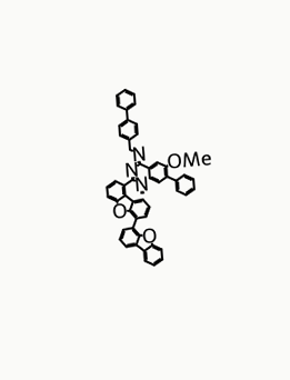 C=N/C(=N\C(=N/Cc1ccc(-c2ccccc2)cc1)c1ccc(-c2ccccc2)c(OC)c1)c1cccc2oc3c(-c4cccc5c4oc4ccccc45)cccc3c12